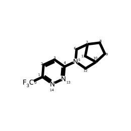 FC(F)(F)c1ccc(N2CC3CCC(C3)C2)nn1